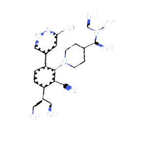 Cc1cc(-c2ccc(/C(C=N)=C/N)c(C#N)c2N2CCC(C(=N)N(C)C=N)CC2)cnn1